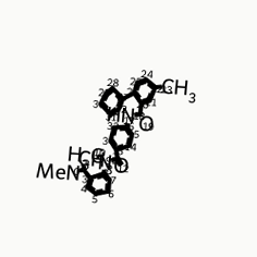 CNC(C)c1ccccc1N(C)C(=O)c1ccc(NC(=O)c2cc(C)ccc2-c2ccccc2)cc1